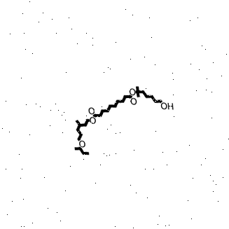 CCC(C)OCCCC(C)CCOC(=O)CCCCCCCCC(=O)OC(C)(C)CCCCCO